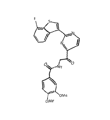 COc1ccc(C(=O)NCC(=O)c2ccnc(-c3csc4c(F)cccc34)n2)cc1OC